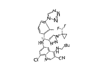 Cc1c([C@H](Nc2cc(Cl)c3ncc(C#N)c(NCC(C)(C)C)c3c2)c2cn(C3(C(F)F)CC3)nn2)cccc1-n1cnnn1